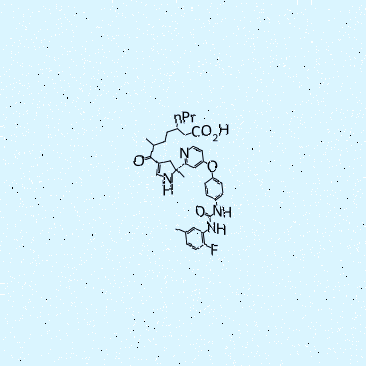 CCCC(CCC(C)C(=O)C1=CNC(C)(c2cc(Oc3ccc(NC(=O)Nc4cc(C)ccc4F)cc3)ccn2)C1)CC(=O)O